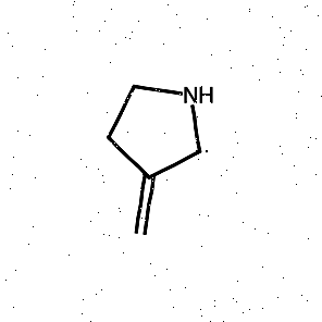 C=C1[CH]NCC1